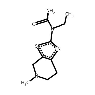 CCN(C(N)=O)c1nc2c(s1)CN(C)CC2